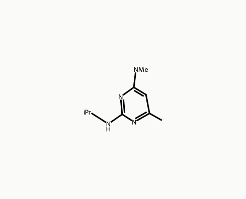 CNc1cc(C)nc(NC(C)C)n1